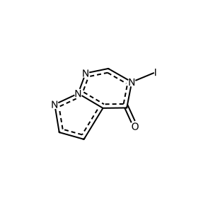 O=c1c2ccnn2ncn1I